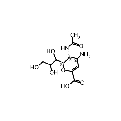 CC(=O)N[C@@H]1[C@@H](N)C=C(C(=O)O)O[C@H]1C(O)C(O)CO